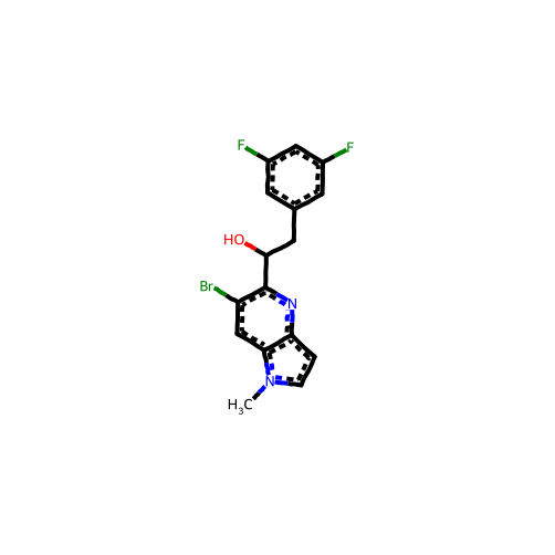 Cn1ccc2nc(C(O)Cc3cc(F)cc(F)c3)c(Br)cc21